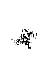 CC1(C)O[C@H]2[C@@H](O[Si](C)(C)C(C)(C)C)CC3(CC(=O)C3)[C@H]2O1